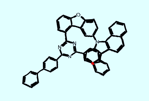 c1ccc(-c2ccc(-c3nc(-c4ccc5ccccc5c4)nc(-c4cccc5oc6ccc(-n7c8ccccc8c8ccc9ccccc9c87)cc6c45)n3)cc2)cc1